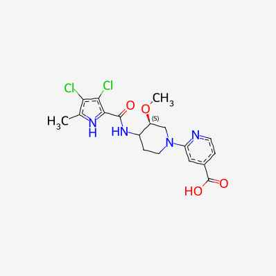 CO[C@H]1CN(c2cc(C(=O)O)ccn2)CCC1NC(=O)c1[nH]c(C)c(Cl)c1Cl